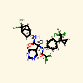 C[C@](C(=O)N[C@@H]1CC2CC1CC2(F)F)(c1cncnc1)N(C(=O)[C@H](F)Cl)c1ccc(C2(C(F)(F)F)CC2)cc1